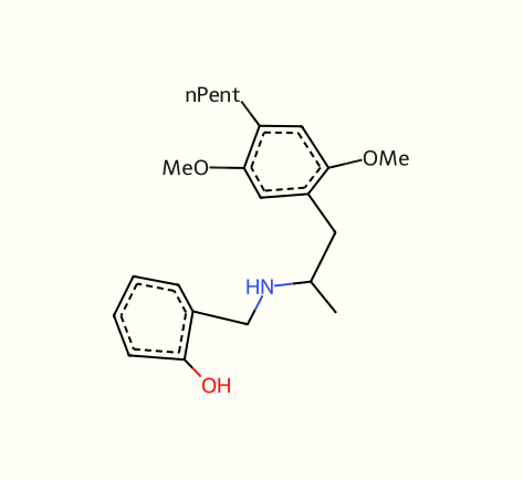 CCCCCc1cc(OC)c(CC(C)NCc2ccccc2O)cc1OC